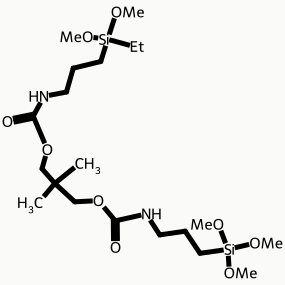 CC[Si](CCCNC(=O)OCC(C)(C)COC(=O)NCCC[Si](OC)(OC)OC)(OC)OC